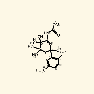 COC(=O)NC1=NC(C)(c2cc(C(=O)O)ccc2F)CS(O)(O)C1(C)C